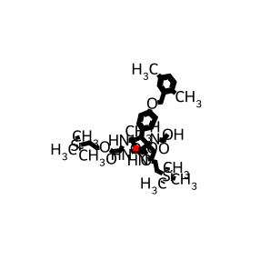 Cc1ccc(C)c(COc2ccc(C(C3(NC(=O)O)CCNC3=O)C3(C)NC(C(=O)OCC[Si](C)(C)C)NC3C(=O)OCC[Si](C)(C)C)cc2)c1